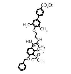 CCOC(=O)c1ccc(-c2cc(C)c(OCCN[C@@H](C)[C@H](O)c3ccc(OCc4ccccc4)c(S(C)(=O)=O)c3N)c(C)c2)cc1